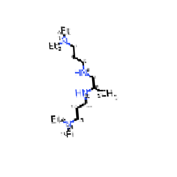 CCN(CC)CCCNCC(C)NCCCN(CC)CC